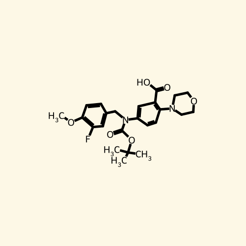 COc1ccc(CN(C(=O)OC(C)(C)C)c2ccc(N3CCOCC3)c(C(=O)O)c2)cc1F